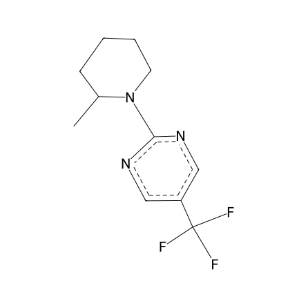 CC1CCCCN1c1ncc(C(F)(F)F)cn1